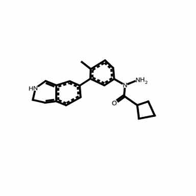 Cc1ccc(N(N)C(=O)C2CCC2)cc1-c1ccc2c(c1)=CNCC=2